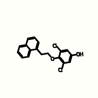 Oc1cc(Cl)c(OCCc2cccc3ccccc23)c(Cl)c1